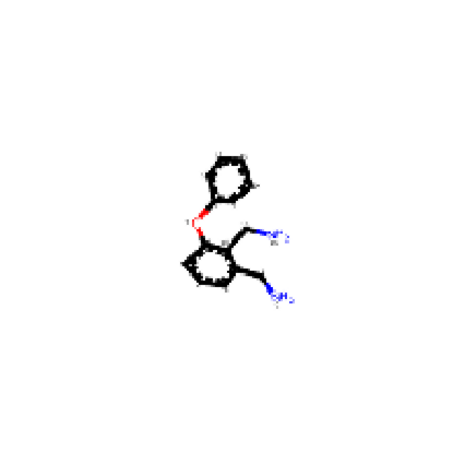 NCc1cccc(Oc2ccccc2)c1CN